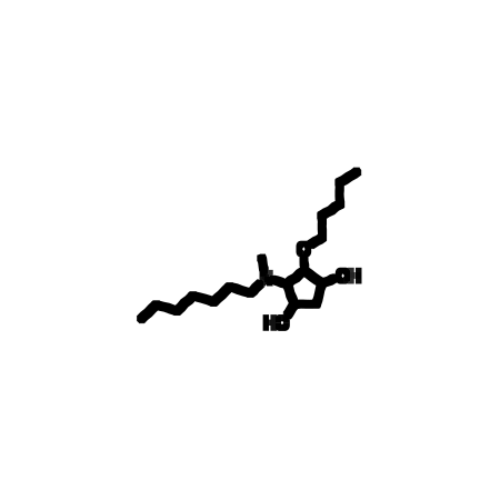 CCCCCCCN(C)C1C(O)CC(O)C1OCCCCC